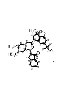 CCCC(F)(F)c1cc2c(cn1)C(C)(C)CN2C(=O)CN1C[C@@H](C)N(C(=O)O)C[C@@H]1CN1Cc2ccccc2C1=O